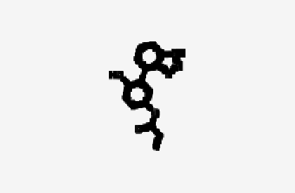 C=CC(=O)Oc1ccc(O)c(-c2cccc3[nH]nnc23)c1